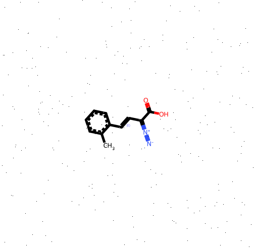 Cc1ccccc1/C=C/C(=[N+]=[N-])C(=O)O